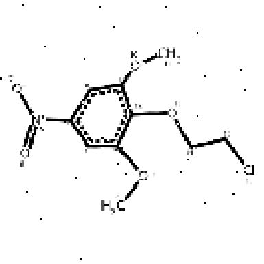 COc1cc([N+](=O)[O-])cc(OC)c1OCCCl